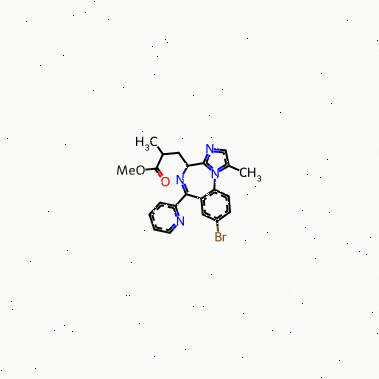 COC(=O)C(C)CC1N=C(c2ccccn2)c2cc(Br)ccc2-n2c(C)cnc21